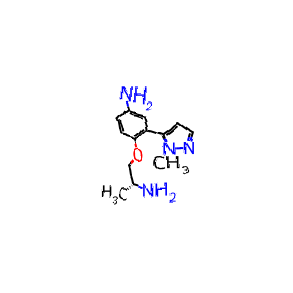 C[C@@H](N)COc1ccc(N)cc1-c1ccnn1C